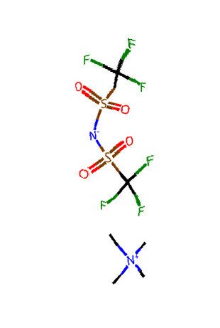 C[N+](C)(C)C.O=S(=O)([N-]S(=O)(=O)C(F)(F)F)C(F)(F)F